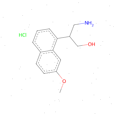 COc1ccc2cccc(C(CN)CO)c2c1.Cl